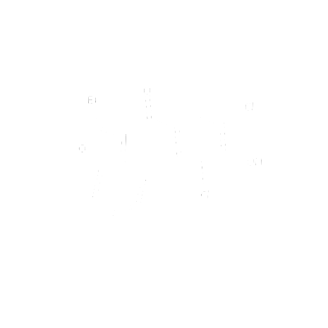 CCc1oc2ccccc2c1C(=O)c1cc(Cl)c(O)c(Cl)c1